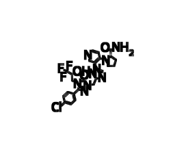 NC(=O)[C@H]1CCCN1c1ccncc1-n1cnc(Cn2nc(-c3ccc(Cl)cc3)n(CC(O)C(F)(F)F)c2=O)n1